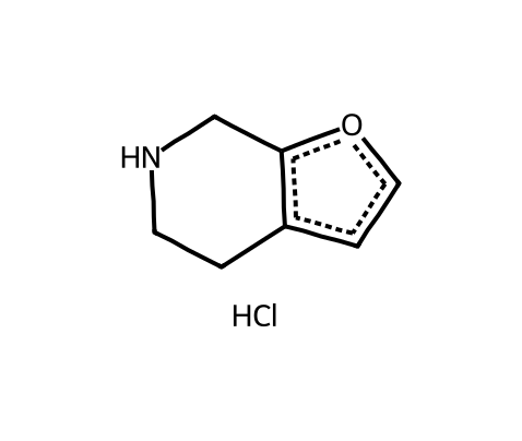 Cl.c1cc2c(o1)CNCC2